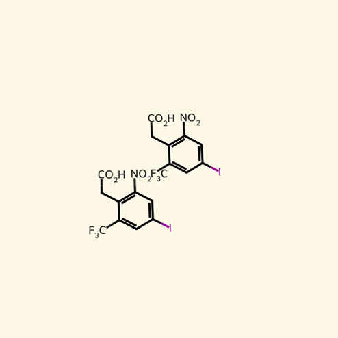 O=C(O)Cc1c([N+](=O)[O-])cc(I)cc1C(F)(F)F.O=C(O)Cc1c([N+](=O)[O-])cc(I)cc1C(F)(F)F